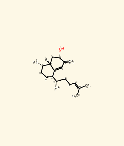 C=C1C=C2[C@@H](C[C@@H]1O)[C@@H](C)CC[C@@H]2[C@@H](C)CCC=C(C)C